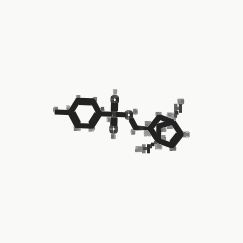 Cc1ccc(S(=O)(=O)OC[C@H]2C[C@H]3C=C[C@@H]2C3)cc1